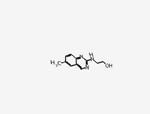 Cc1ccc2nc(NCCO)ncc2c1